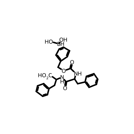 O=C(NC(Cc1ccccc1)C(=O)NC(Cc1ccccc1)C(=O)O)OCc1ccccc1.OBO